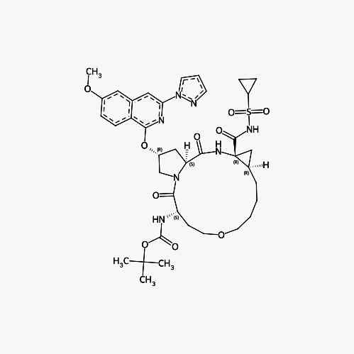 COc1ccc2c(O[C@@H]3C[C@H]4C(=O)N[C@]5(C(=O)NS(=O)(=O)C6CC6)C[C@H]5CCCCOCC[C@H](NC(=O)OC(C)(C)C)C(=O)N4C3)nc(-n3cccn3)cc2c1